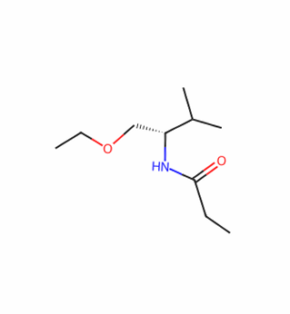 CCOC[C@@H](NC(=O)CC)C(C)C